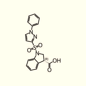 O=C(O)[C@H]1CN(S(=O)(=O)c2ccn(-c3ccccc3)n2)c2ccccc21